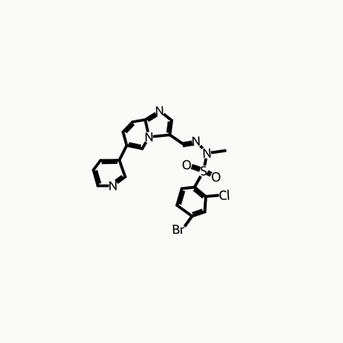 CN(N=Cc1cnc2ccc(-c3cccnc3)cn12)S(=O)(=O)c1ccc(Br)cc1Cl